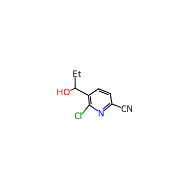 CCC(O)c1ccc(C#N)nc1Cl